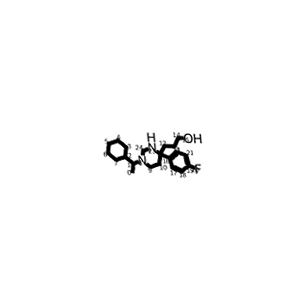 CC(C1CCCCC1)N1CCC(CCCO)(c2ccc(F)cc2)NC1